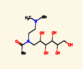 CN(CCN(CC(O)C(O)C(O)C(O)CO)C(=O)C(C)(C)C)C(C)(C)C